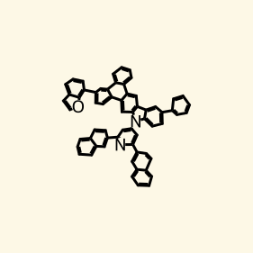 c1ccc(-c2ccc3c(c2)c2cc4c5ccccc5c5cc(-c6cccc7ccoc67)ccc5c4cc2n3-c2cc(-c3ccc4ccccc4c3)nc(-c3ccc4ccccc4c3)c2)cc1